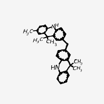 Cc1ccc2c(c1)C(C)(C)c1cc(Cc3ccc4c(c3)C(C)(C)c3ccccc3N4)ccc1N2